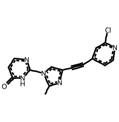 Cc1nc(C#Cc2ccnc(Cl)c2)cn1-c1nccc(=O)[nH]1